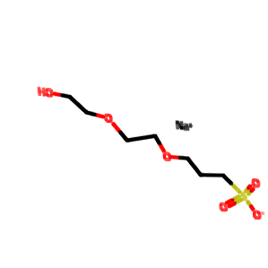 O=S(=O)([O-])CCCOCCOCCO.[Na+]